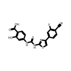 N#Cc1ccc(-c2csc(NC(=S)Nc3ccc(C(=O)O)c(O)c3)n2)cc1F